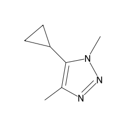 Cc1nnn(C)c1C1CC1